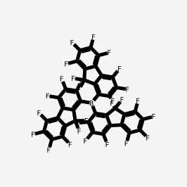 Fc1c(F)c(F)c2c(c1F)-c1c(F)c(F)c(F)c(B(c3c(F)c(F)c(F)c4c3C(F)(F)c3c(F)c(F)c(F)c(F)c3-4)c3c(F)c(F)c(F)c4c3C(F)(F)c3c(F)c(F)c(F)c(F)c3-4)c1C2(F)F